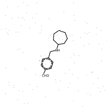 O=Cc1ccc(CNC2CCCCCC2)cc1